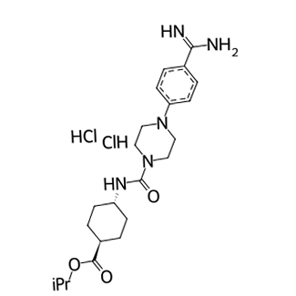 CC(C)OC(=O)[C@H]1CC[C@H](NC(=O)N2CCN(c3ccc(C(=N)N)cc3)CC2)CC1.Cl.Cl